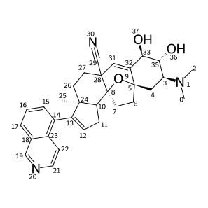 CN(C)[C@H]1C[C@@]23CC[C@]4(O2)C2CC=C(c5cccc6cnccc56)[C@@]2(C)CCC4(C#N)C=C3[C@@H](O)[C@@H]1O